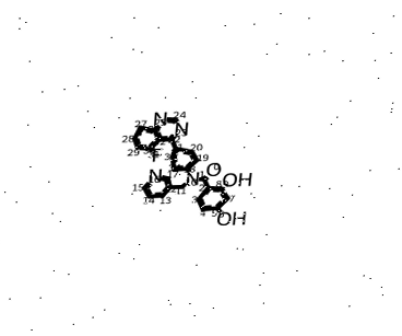 O=C(c1ccc(O)cc1O)N(Cc1cccnc1)c1ccc(-c2ncnc3cccc(F)c23)cc1